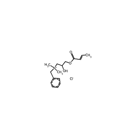 CC=CC(=O)OCC(O)C[N+](C)(C)Cc1ccccc1.[Cl-]